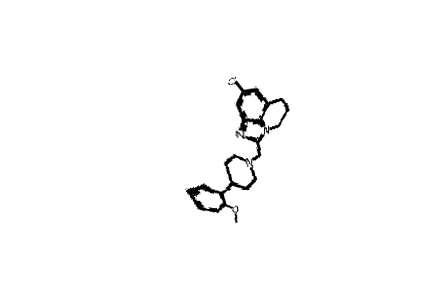 COc1ccccc1C1CCN(Cc2nc3cc(Cl)cc4c3n2CCC4)CC1